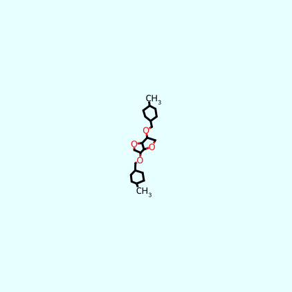 CC1CCC(COC2COC3C(OCC4CCC(C)CC4)COC23)CC1